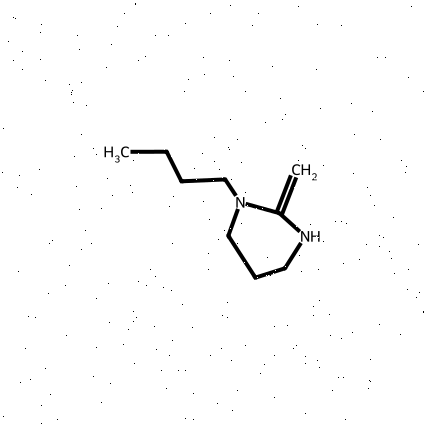 C=C1NCCCN1CCCC